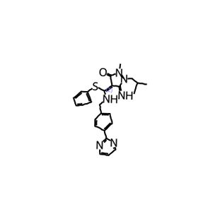 CC(C)CN1C(=N)/C(=C(\NCc2ccc(-c3ncccn3)cc2)Sc2ccccc2)C(=O)N1C